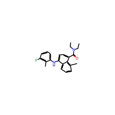 CCN(CC)C(=O)c1ccc(Nc2cccc(F)c2C)c2cccc(C)c12